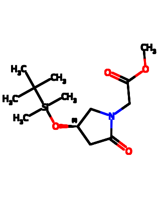 COC(=O)CN1C[C@H](O[Si](C)(C)C(C)(C)C)CC1=O